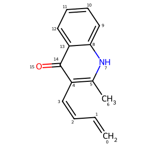 C=C/C=C\c1c(C)[nH]c2ccccc2c1=O